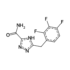 NC(=O)c1nnc(Cc2ccc(F)c(F)c2F)[nH]1